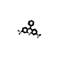 CN(C)c1ccc2c(c1)Sc1cc(N(C)C)ccc1C2c1ccccc1